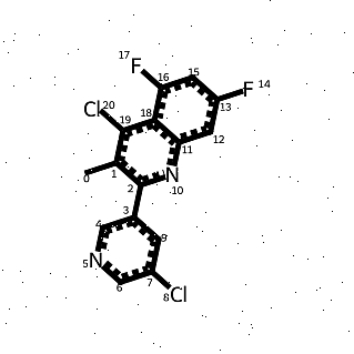 Cc1c(-c2cncc(Cl)c2)nc2cc(F)cc(F)c2c1Cl